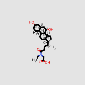 CCN(CC(=O)O)C(=O)CC[C@@H](C)[C@H]1CC[C@H]2[C@@H]3[C@@H](O)C[C@@H]4C[C@H](O)CC[C@]4(C)[C@H]3CC[C@]12C